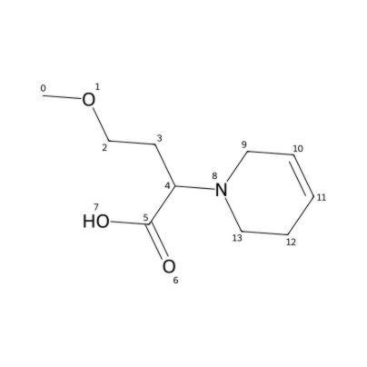 COCCC(C(=O)O)N1CC=CCC1